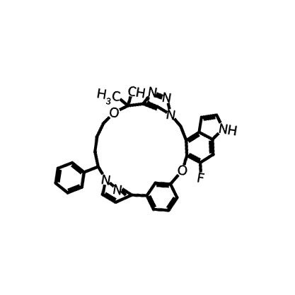 CC1(C)OCCCC(c2ccccc2)n2ccc(n2)-c2cccc(c2)Oc2c(F)cc3[nH]ccc3c2Cn2cc1nn2